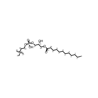 CCCCCCCCCCCC(=O)OC[C@@H](O)COP(=O)(O)OCC[N+](C)(C)C